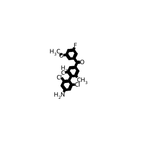 COc1cc(F)cc(C(=O)c2cc(C)c(-c3c(Cl)cc(N)cc3Cl)c(C)c2)c1